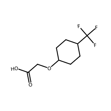 O=C(O)COC1CCC(C(F)(F)F)CC1